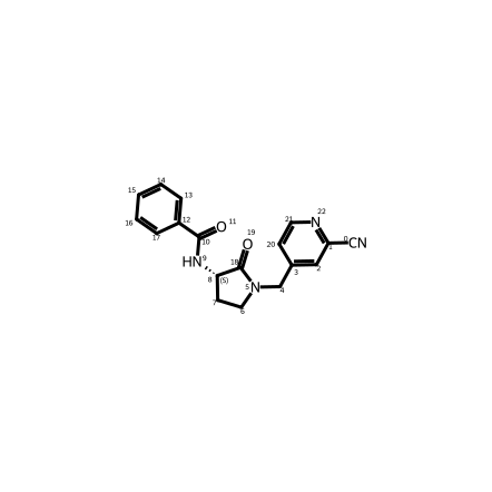 N#Cc1cc(CN2CC[C@H](NC(=O)c3ccccc3)C2=O)ccn1